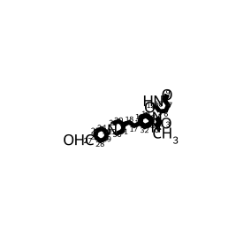 Cn1c(=O)n(C2CCC(=O)NC2=O)c2ccc(CCC3CCN(C4CCC(C=O)CC4)CC3)cc21